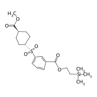 COC(=O)[C@H]1CC[C@H](S(=O)(=O)c2cccc(C(=O)OCC[Si](C)(C)C)c2)CC1